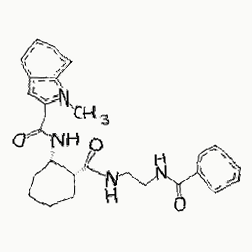 Cn1c(C(=O)N[C@H]2CCCC[C@H]2C(=O)NCCNC(=O)c2ccccc2)cc2ccccc21